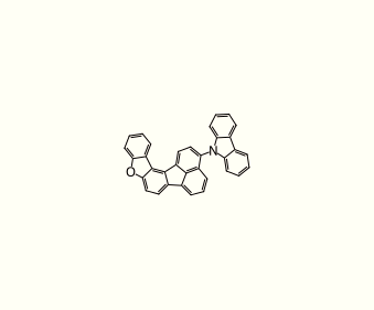 c1ccc2c(c1)oc1ccc3c(c12)-c1ccc(-n2c4ccccc4c4ccccc42)c2cccc-3c12